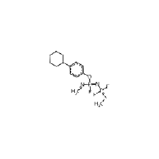 C=NP(F)(=NP(F)(F)=NC)Oc1ccc(C2CCCCC2)cc1